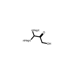 CCCCCCCC(CCCCCCC)C(=O)CO